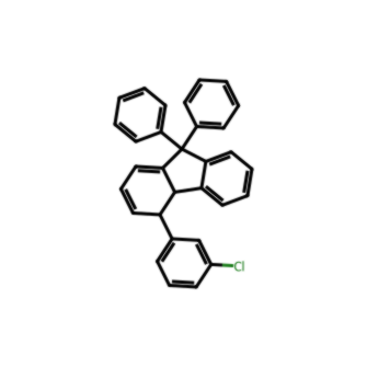 Clc1cccc(C2C=CC=C3C2c2ccccc2C3(c2ccccc2)c2ccccc2)c1